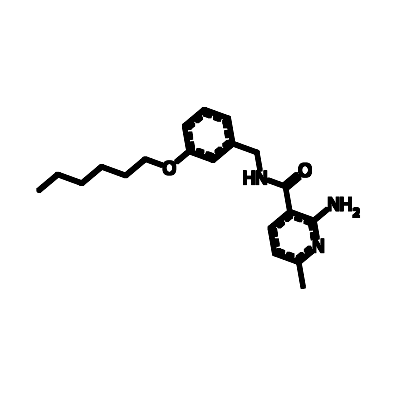 CCCCCCOc1cccc(CNC(=O)c2ccc(C)nc2N)c1